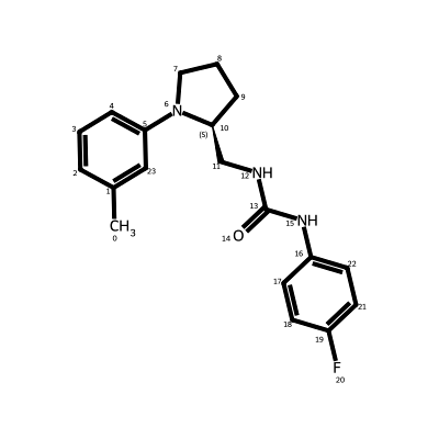 Cc1cccc(N2CCC[C@H]2CNC(=O)Nc2ccc(F)cc2)c1